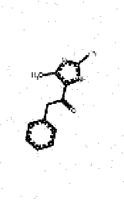 CCCc1nc(C)c(C(=O)Cc2ccccc2)[nH]1